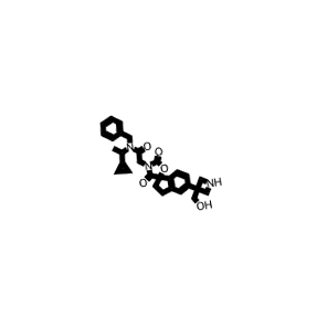 CC(C1CC1)N(Cc1ccccc1)C(=O)CN1C(=O)OC2(CCc3cc(C4(CO)CNC4)ccc32)C1=O